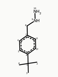 CC(C)(C)c1ccc(CNN)cc1